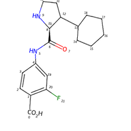 O=C(O)c1ccc(NC(=O)[C@H]2NCCC2C2CCCCC2)cc1F